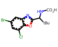 CC(C)(C)C(NC(=O)O)c1nc2cc(Br)cc(Cl)c2o1